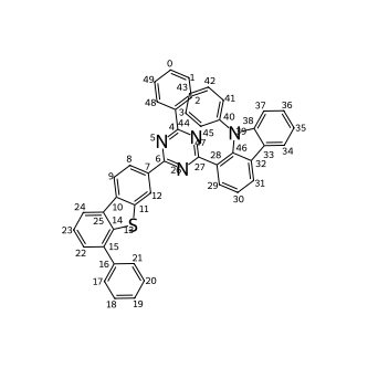 c1ccc(-c2nc(-c3ccc4c(c3)sc3c(-c5ccccc5)cccc34)nc(-c3cccc4c5ccccc5n(-c5ccccc5)c34)n2)cc1